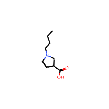 CCCCN1CCC(C(=O)O)C1